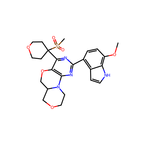 COc1ccc(-c2nc3c(c(C4(S(C)(=O)=O)CCOCC4)n2)OCC2COCCN32)c2cc[nH]c12